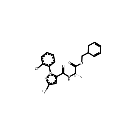 C[C@H](NC(=O)c1cc(C(F)(F)F)nn1-c1ccccc1Cl)C(=O)OCC1C=CC=CC1